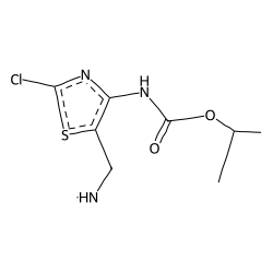 CC(C)OC(=O)Nc1nc(Cl)sc1C[NH]